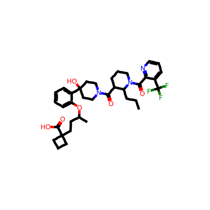 CCCC1C(C(=O)N2CCC(O)(c3ccccc3OC(C)CCC3(C(=O)O)CCC3)CC2)CCCN1C(=O)c1ncccc1C(F)(F)F